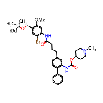 COc1cc(NC(=O)CCCc2ccc(-c3ccccc3)c(NC(=O)OC3CCN(C)CC3)c2)c(Br)cc1CO[Si](C)(C)C(C)(C)C